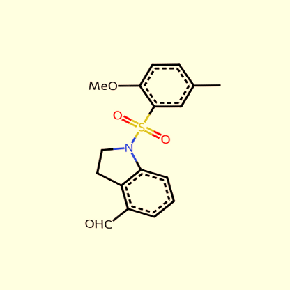 COc1ccc(C)cc1S(=O)(=O)N1CCc2c(C=O)cccc21